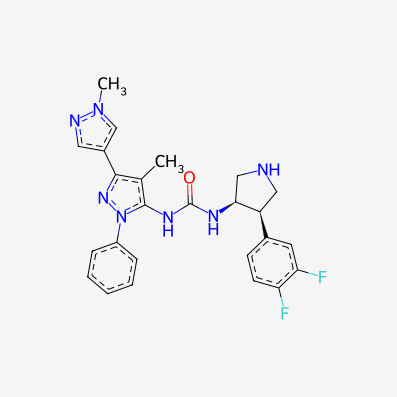 Cc1c(-c2cnn(C)c2)nn(-c2ccccc2)c1NC(=O)N[C@H]1CNC[C@H]1c1ccc(F)c(F)c1